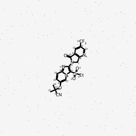 CCS(=O)(=O)c1c(N2Cc3ncc(C(F)(F)F)cc3C2=O)nc2ccc(OC(C)(C)C#N)cn12